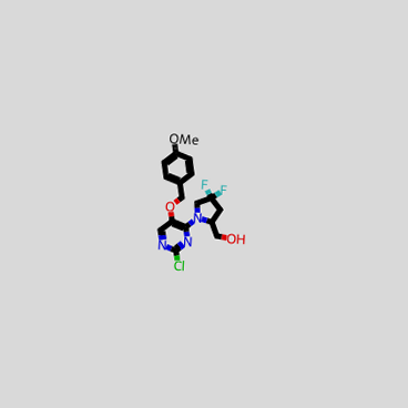 COc1ccc(COc2cnc(Cl)nc2N2CC(F)(F)CC2CO)cc1